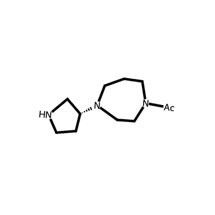 CC(=O)N1CCCN([C@@H]2CCNC2)CC1